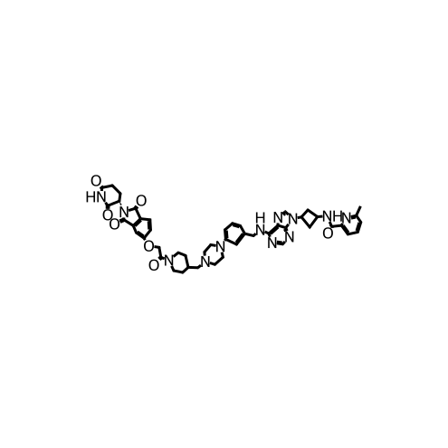 Cc1cccc(C(=O)NC2CC(n3cnc4c(NCc5cccc(N6CCN(CC7CCN(C(=O)COc8ccc9c(c8)C(=O)N([C@H]8CCC(=O)NC8=O)C9=O)CC7)CC6)c5)ncnc43)C2)n1